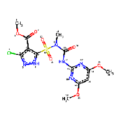 COC(=O)c1c(Cl)n[nH]c1S(=O)(=O)N(C)C(=O)Nc1nc(OC)cc(OC)n1